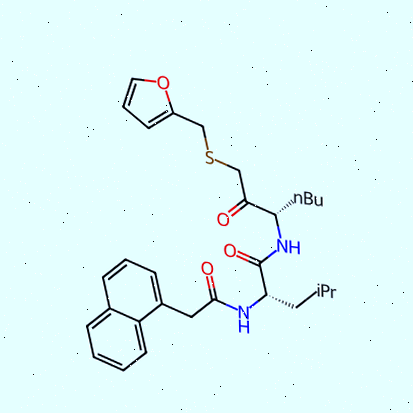 CCCC[C@H](NC(=O)[C@H](CC(C)C)NC(=O)Cc1cccc2ccccc12)C(=O)CSCc1ccco1